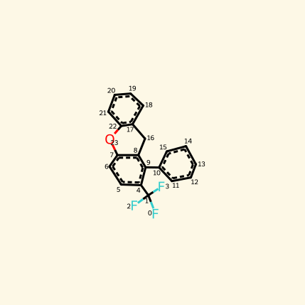 FC(F)(F)c1ccc2c(c1-c1ccccc1)Cc1ccccc1O2